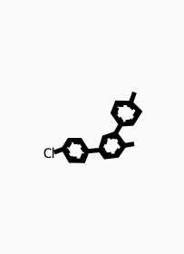 Cc1ccc(-c2cc(-c3ccc(Cl)cc3)ccc2C)cc1